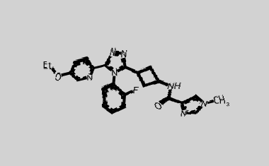 CCOc1ccc(-c2nnc(C3CC(NC(=O)c4cn(C)cn4)C3)n2-c2ccccc2F)nc1